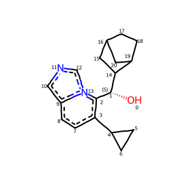 O[C@H](c1c(C2CC2)ccc2cncn12)C1CC2CCC1C2